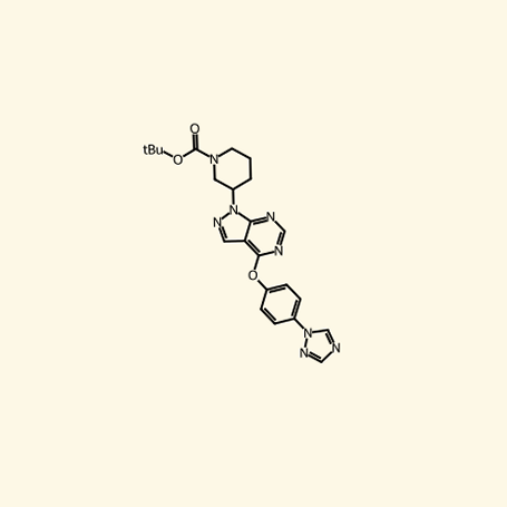 CC(C)(C)OC(=O)N1CCCC(n2ncc3c(Oc4ccc(-n5cncn5)cc4)ncnc32)C1